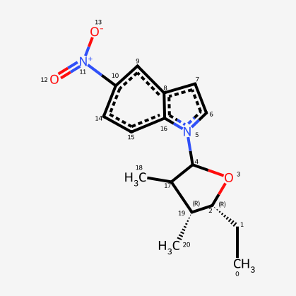 CC[C@H]1OC(n2ccc3cc([N+](=O)[O-])ccc32)C(C)[C@H]1C